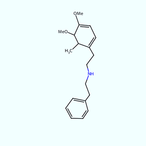 COC1=CC=C(CCNCCc2ccccc2)C(C)C1OC